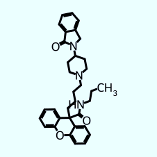 CCCNC(=O)C1(CCCCN2CCC(N3Cc4ccccc4C3=O)CC2)c2ccccc2Oc2ccccc21